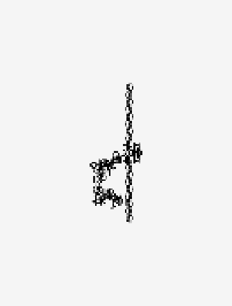 COCCOCCOCCOCCOCCOCCOCCOCCNC(=O)c1cc(N2C(=O)C=CC2=O)cc(C(=O)NCCOCCOCCOCCOCCOCCOCCOCCOC)c1OCCCC(=O)NCC(=O)NCC(=O)N[C@@H](Cc1ccccc1)C(=O)NCC(=O)NCOCC(=O)N[C@H]1CCc2c(C)c(F)cc3nc4c(c1c23)Cn1c-4cc2c(c1=O)COC(=O)[C@]2(O)CC1CC1